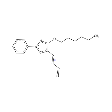 CCCCCCOc1nn(-c2ccccc2)cc1/C=C/C=O